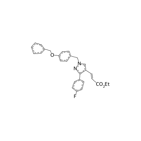 CCOC(=O)/C=C/c1cn(Cc2ccc(OCc3ccccc3)cc2)nc1-c1ccc(F)cc1